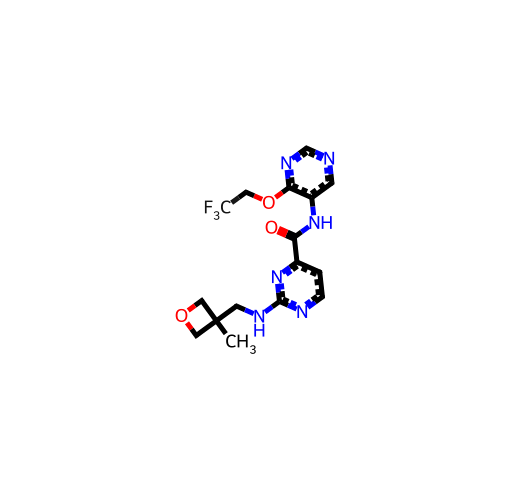 CC1(CNc2nccc(C(=O)Nc3cncnc3OCC(F)(F)F)n2)COC1